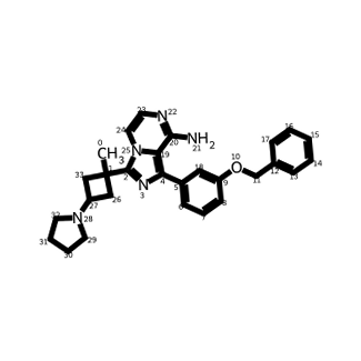 CC1(c2nc(-c3cccc(OCc4ccccc4)c3)c3c(N)nccn23)CC(N2CCCC2)C1